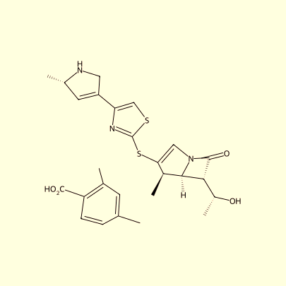 C[C@H]1C=C(c2csc(SC3=CN4C(=O)[C@H]([C@@H](C)O)[C@H]4[C@H]3C)n2)CN1.Cc1ccc(C(=O)O)c(C)c1